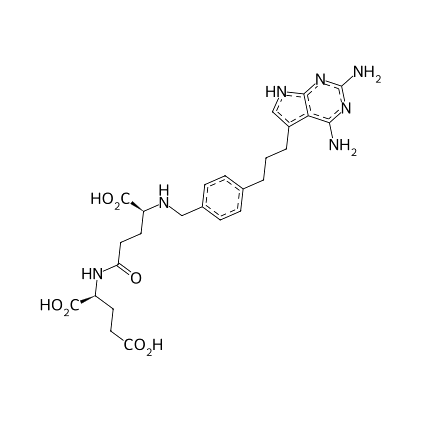 Nc1nc(N)c2c(CCCc3ccc(CN[C@@H](CCC(=O)N[C@@H](CCC(=O)O)C(=O)O)C(=O)O)cc3)c[nH]c2n1